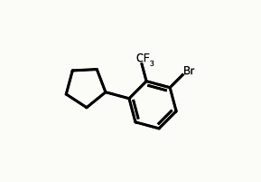 FC(F)(F)c1c(Br)cccc1C1CCCC1